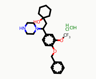 Cl.Cl.OC1(CC(c2ccc(OCc3ccccc3)c(OC(F)(F)F)c2)N2CCNCC2)CCCCC1